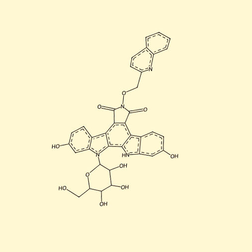 O=C1c2c(c3c4ccc(O)cc4n(C4OC(CO)C(O)C(O)C4O)c3c3[nH]c4cc(O)ccc4c23)C(=O)N1OCc1ccc2ccccc2n1